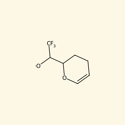 [O]C(C1CCC=CO1)C(F)(F)F